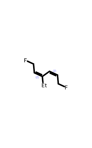 CCC(/C=C\CF)=C/CF